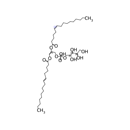 CCCCCCCCCC=CCCCCC(=O)OC[C@H](COP(=O)(O)OC[C@@H](O)[C@@H](O)[C@H](O)CO)OC(=O)CCCC/C=C\CCCCCCCCC